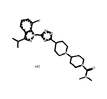 CC(C)c1nn(-c2noc(C3CCN(C4CCN(C(=O)N(C)C)CC4)CC3)n2)c2c(F)cccc12.Cl